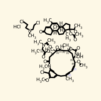 CC(=O)O[C@]1(C(C)=O)CC[C@H]2[C@@H]3C=C(C)C4=CC(=O)CC[C@]4(C)[C@H]3CC[C@@]21C.CN(CCCl)CCCl.COc1cc2cc(c1Cl)N(C)C(=O)C[C@H](OC(=O)[C@H](C)N(C)C(C)=O)[C@]1(C)O[C@H]1[C@H](C)[C@@H]1C[C@@](O)(NC(=O)O1)[C@H](OC)/C=C\C=C(\C)C2.Cl